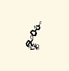 O=S1(=O)CCN2C(=N1)C1(COc3ccc(-c4ccc(F)cn4)cc3)CCC2CC1